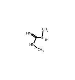 CNC(=N)SC.I